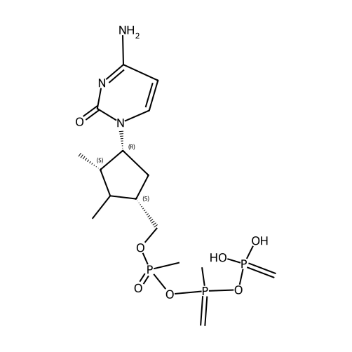 C=P(O)(O)OP(=C)(C)OP(C)(=O)OC[C@H]1C[C@@H](n2ccc(N)nc2=O)[C@@H](C)C1C